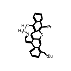 Cc1c2c(c(C(C)C)c3ccccc13)Sc1cc3c(CC(C)(C)C)cccc3c3cc[n+](C)c-2c13